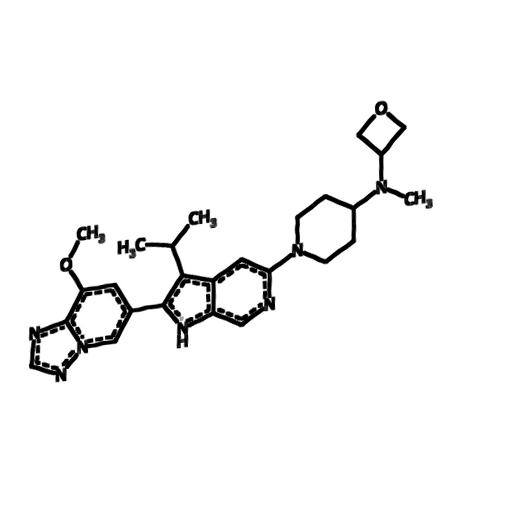 COc1cc(-c2[nH]c3cnc(N4CCC(N(C)C5COC5)CC4)cc3c2C(C)C)cn2ncnc12